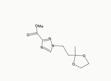 COC(=O)c1ncn(CCC2(C)OCCO2)n1